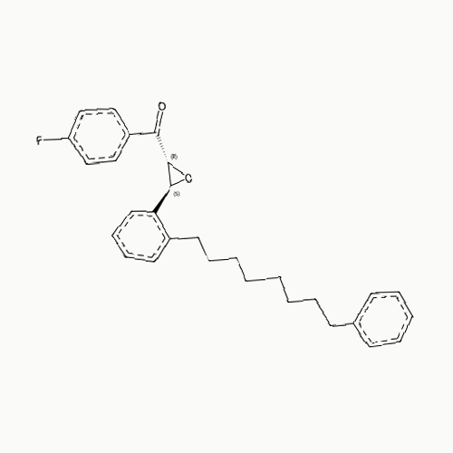 O=C(c1ccc(F)cc1)[C@@H]1O[C@H]1c1ccccc1CCCCCCCCc1ccccc1